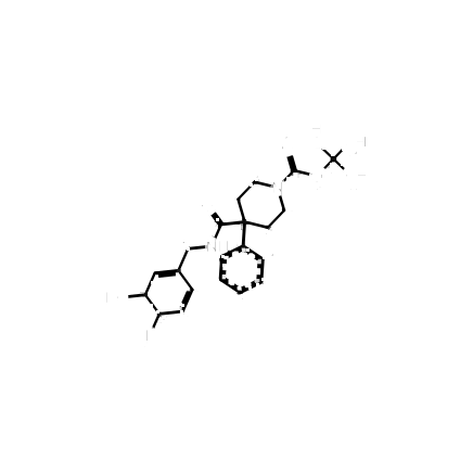 CC1C=C(CNC(=O)C2(c3ccccc3)CCN(C(=O)OC(C)(C)C)CC2)C=CC1F